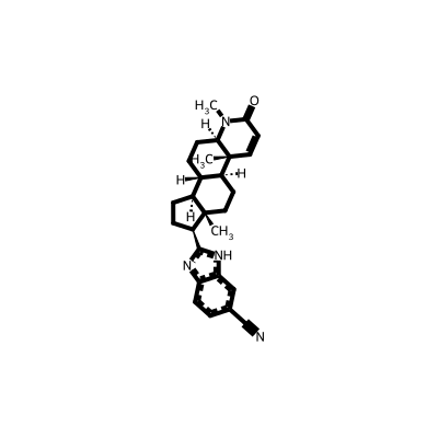 CN1C(=O)C=C[C@]2(C)[C@H]3CC[C@]4(C)[C@@H](c5nc6ccc(C#N)cc6[nH]5)CC[C@H]4[C@@H]3CC[C@@H]12